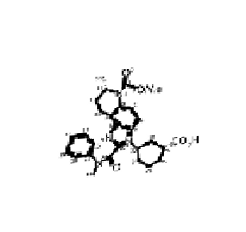 COC(=O)N1c2ccc3c(nc(C(=O)N(C)c4ccccc4)n3[C@@H]3CCC[C@@H](C(=O)O)C3)c2CC[C@@H]1C